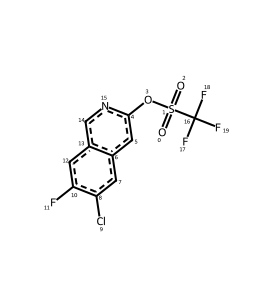 O=S(=O)(Oc1cc2cc(Cl)c(F)cc2cn1)C(F)(F)F